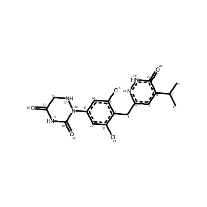 CC(C)c1cc(Cc2c(Cl)cc(N3NCC(=O)NC3=O)cc2Cl)n[nH]c1=O